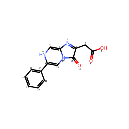 O=C(O)Cc1nc2c[nH]c(-c3ccccc3)cn-2c1=O